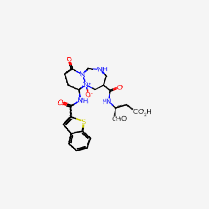 O=C[C@H](CC(=O)O)NC(=O)C1CNCN2C(=O)CCC(NC(=O)c3cc4ccccc4s3)[N+]2([O-])C1